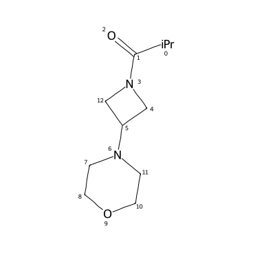 CC(C)C(=O)N1CC(N2CCOCC2)C1